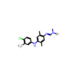 CCN(C)C=Nc1cc(C)c(Nc2ccc(Cl)c(C(F)(F)F)c2)cc1C